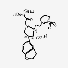 CCCCN(CCCC)C(=O)CN1C[C@H](c2ccc3c(c2)CCO3)[C@@H](C(=O)O)[C@@H]1CCN1CCCS1(=O)=O